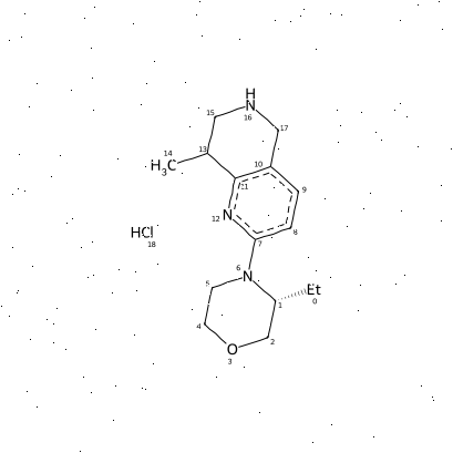 CC[C@@H]1COCCN1c1ccc2c(n1)C(C)CNC2.Cl